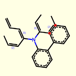 C=C/C=C(\C=C/C)N(C(/C=C\C)=C/C)c1ccccc1-c1ccccc1